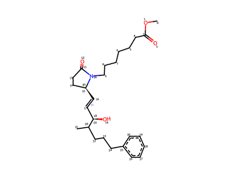 COC(=O)CCCCCCN1C(=O)CC[C@@H]1/C=C/[C@@H](O)C(C)CCCc1ccccc1